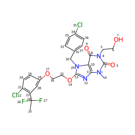 Cn1c(=O)n(CCO)c(=O)c2c1nc(OCCOc1ccc(Cl)c(C(C)(F)F)c1)n2Cc1ccc(Cl)cc1